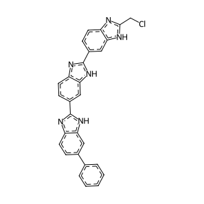 ClCc1nc2ccc(-c3nc4ccc(-c5nc6ccc(-c7ccccc7)cc6[nH]5)cc4[nH]3)cc2[nH]1